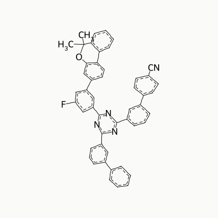 CC1(C)Oc2cc(-c3cc(F)cc(-c4nc(-c5cccc(-c6ccccc6)c5)nc(-c5cccc(-c6ccc(C#N)cc6)c5)n4)c3)ccc2-c2ccccc21